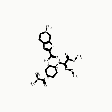 CON=C(N[C@H]1CC[C@H](C(=O)N(C)C)C[C@@H]1NC(=O)c1nc2c(s1)CN(C)CC2)C(=O)OC